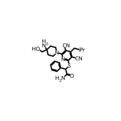 CC(C)Cc1c(C#N)c(SC(C(N)=O)c2ccccc2)nc(N2CCC(N)(CO)CC2)c1C#N